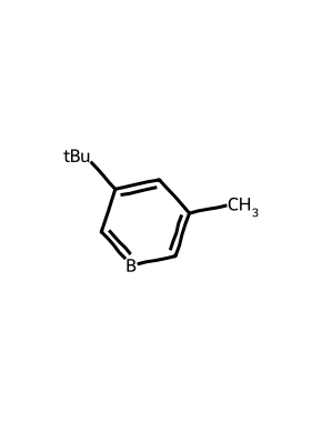 Cc1cbcc(C(C)(C)C)c1